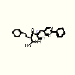 O=C1NC(O)N(CCC2=CCCCC2)C(=O)/C1=C/c1cnc(-c2ccccc2)nc1